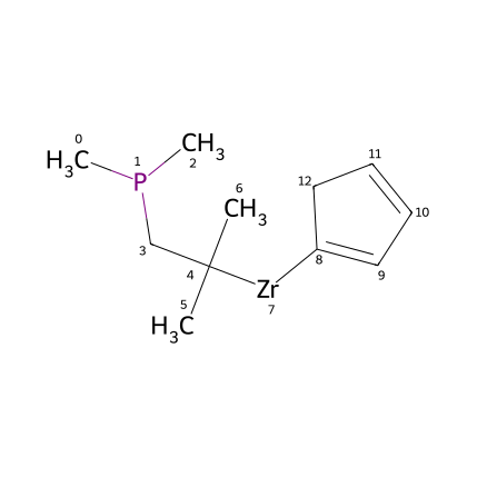 CP(C)C[C](C)(C)[Zr][C]1=CC=CC1